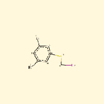 CCc1cc(CC)cc(SCI)c1